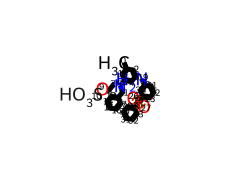 Cc1cccc(N(CCOS(=O)(=O)O)Cc2ccccc2)c1.Nc1cccc(S(=O)(=O)c2ccccc2)c1